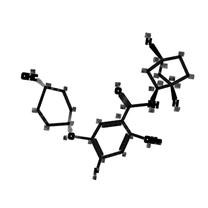 COc1cc(F)c(O[C@H]2CC[C@@H](C=O)CC2)cc1C(=O)N[C@H]1C[C@@H]2CC[C@H]1C2